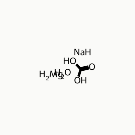 O.O=C(O)O.[MgH2].[NaH]